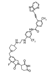 Cc1ccc(C(=O)Nc2ccc(NCCNC3CCN(Cc4cc(F)c5c(c4)CN(C4CCC(=O)NC4=O)C5=O)CC3)c(C(F)(F)F)c2)cc1C#Cc1cnc2cccnn12